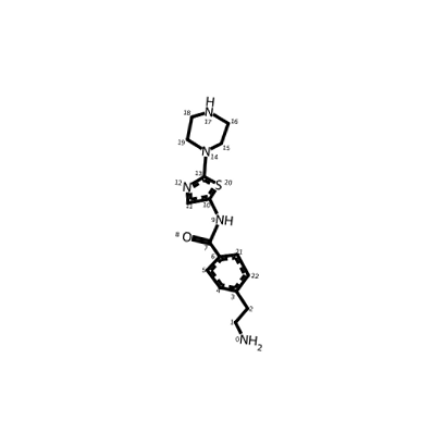 NCCc1ccc(C(=O)Nc2cnc(N3CCNCC3)s2)cc1